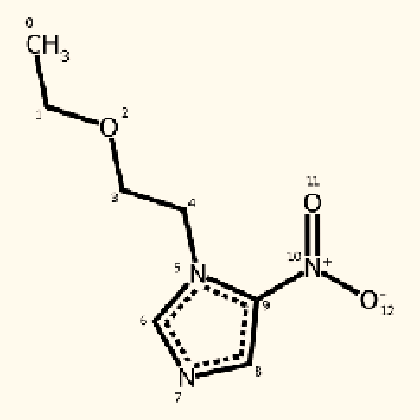 CCOCCn1cncc1[N+](=O)[O-]